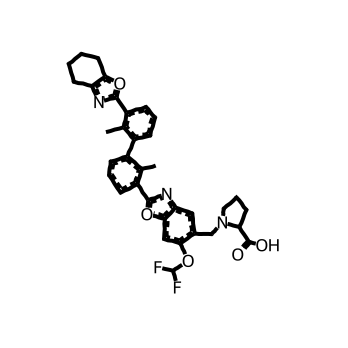 Cc1c(-c2nc3c(o2)CCCC3)cccc1-c1cccc(-c2nc3cc(CN4CCCC4C(=O)O)c(OC(F)F)cc3o2)c1C